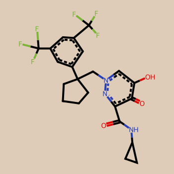 O=C(NC1CC1)c1nn(CC2(c3cc(C(F)(F)F)cc(C(F)(F)F)c3)CCCC2)cc(O)c1=O